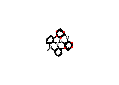 CN1c2cccc(-c3ccccc3)c2N(B2c3ccccc3Oc3ccccc32)c2c(-c3ccccc3)cccc21